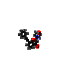 O=c1cc(N2CCOCC2)oc2c(C#Cc3ccccc3)cccc12